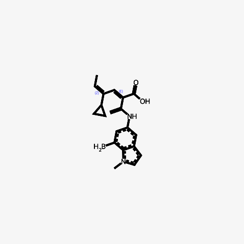 Bc1cc(NC(=C)/C(=C\C(=C/C)C2CC2)C(=O)O)cc2ccn(C)c12